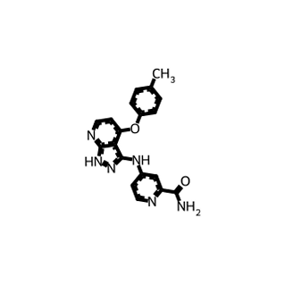 Cc1ccc(Oc2ccnc3[nH]nc(Nc4ccnc(C(N)=O)c4)c23)cc1